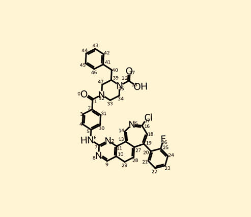 O=C(c1ccc(Nc2ncc3c(n2)C2=CN=C(Cl)C=C(c4ccccc4F)C2=CC3)cc1)N1CCN(C(=O)O)C(Cc2ccccc2)C1